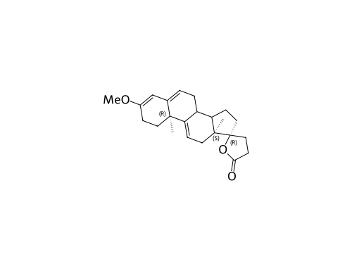 COC1=CC2=CCC3C(=CC[C@@]4(C)C3CC[C@@]43CCC(=O)O3)[C@@]2(C)CC1